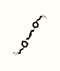 CCCC[C@H]1CC[C@H](/C=C/C#C/C=C/[C@H]2CC[C@H](CCCC)CC2)CC1